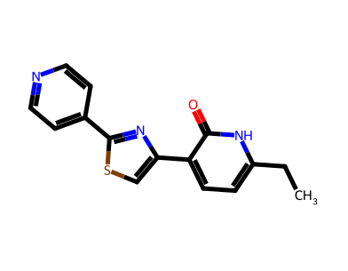 CCc1ccc(-c2csc(-c3ccncc3)n2)c(=O)[nH]1